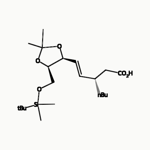 CCCC[C@H](/C=C/[C@@H]1OC(C)(C)O[C@@H]1CO[Si](C)(C)C(C)(C)C)CC(=O)O